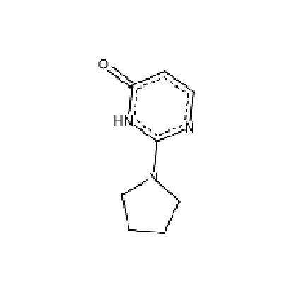 O=c1ccnc(N2CCCC2)[nH]1